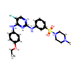 CN1CCN(S(=O)(=O)c2cccc(Nc3ncc(F)c(Nc4ccc(OCC#N)cc4)n3)c2)CC1